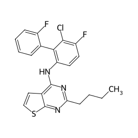 CCCCc1nc(Nc2ccc(F)c(Cl)c2-c2ccccc2F)c2ccsc2n1